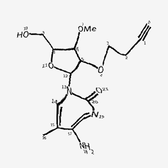 C#CCCOC1C(OC)C(CO)OC1n1cc(C)c(N)nc1=O